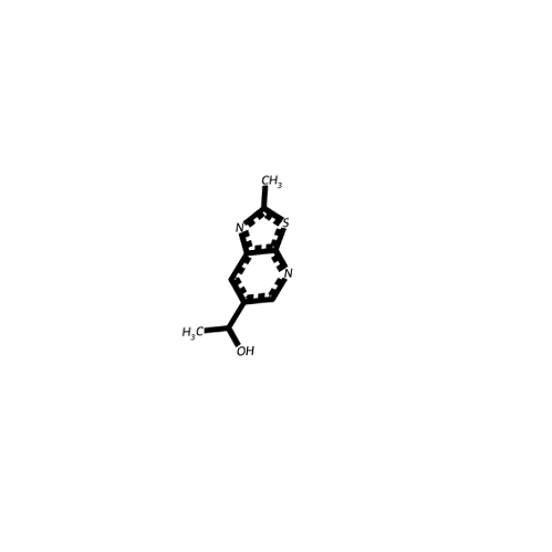 Cc1nc2cc(C(C)O)cnc2s1